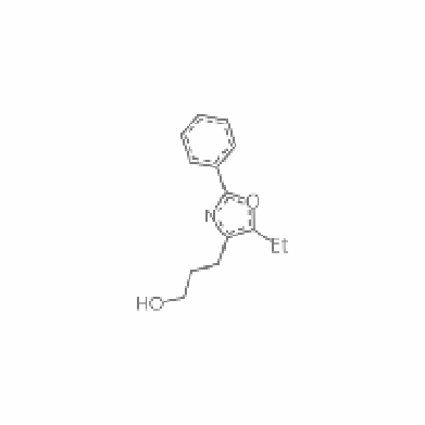 CCc1oc(-c2ccccc2)nc1CCCO